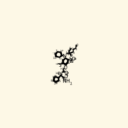 CCCCC1(CC)CN(c2ccccc2)c2cc(SC)c(OCC(=O)N[C@H](C(N)=O)c3ccccc3)cc2S(=O)(=O)C1